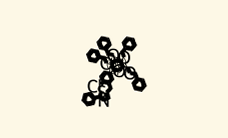 Clc1ccc([C@@H]2O[C@H](COCc3ccccc3)[C@@H](OCc3ccccc3)[C@H](OCc3ccccc3)[C@H]2OCc2ccccc2)cc1Cc1cnc(-c2ccccc2)s1